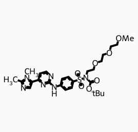 COCCOCCOCCN(C(=O)OC(C)(C)C)S(=O)(=O)c1ccc(Nc2nccc(-c3cnc(C)n3C)n2)cc1